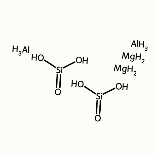 O=[Si](O)O.O=[Si](O)O.[AlH3].[AlH3].[MgH2].[MgH2]